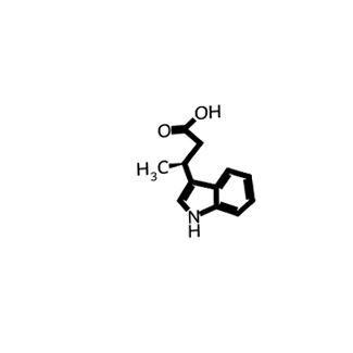 C[C@@H](CC(=O)O)c1c[nH]c2ccccc12